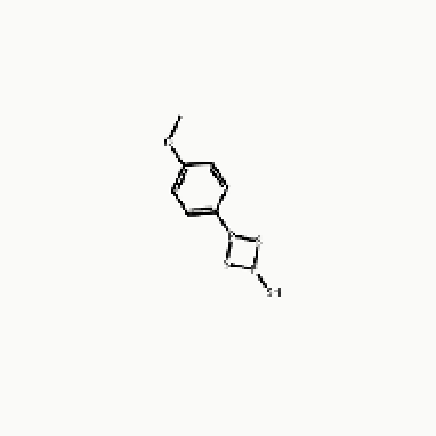 COc1ccc(P2SP(S)S2)cc1